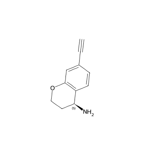 C#Cc1ccc2c(c1)OCC[C@@H]2N